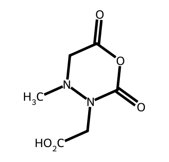 CN1CC(=O)OC(=O)N1CC(=O)O